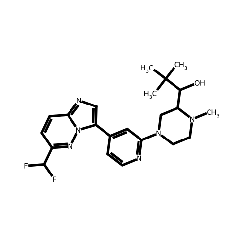 CN1CCN(c2cc(-c3cnc4ccc(C(F)F)nn34)ccn2)CC1C(O)C(C)(C)C